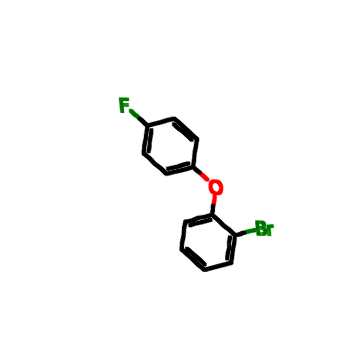 Fc1ccc(Oc2ccccc2Br)cc1